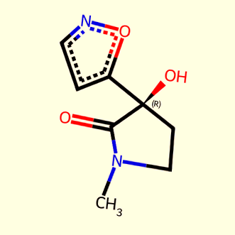 CN1CC[C@@](O)(c2ccno2)C1=O